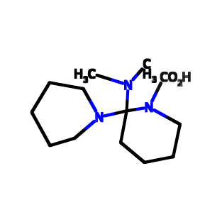 CN(C)C1(N2CCCCC2)CCCCN1C(=O)O